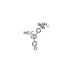 NS(=O)(=O)c1ccc(-c2cc(-c3ccc(Cl)cc3)oc2C(=O)O)cc1